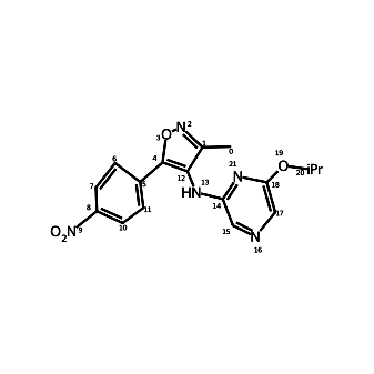 Cc1noc(-c2ccc([N+](=O)[O-])cc2)c1Nc1cncc(OC(C)C)n1